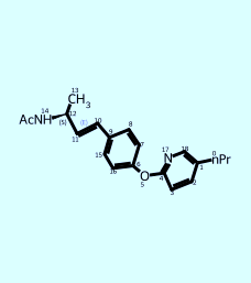 CCCc1ccc(Oc2ccc(/C=C/[C@H](C)NC(C)=O)cc2)nc1